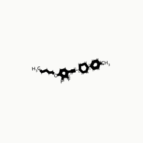 CCCCCOc1ccc(C#C[C@H]2CC[C@H](c3ccc(C)cc3)CC2)c(F)c1F